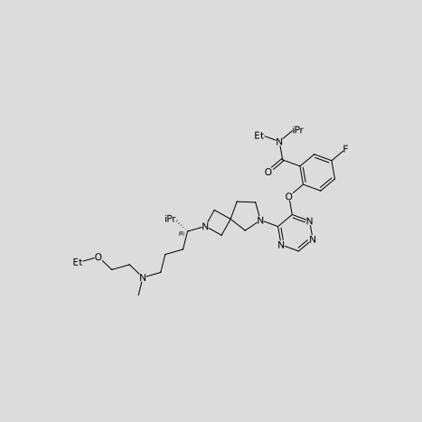 CCOCCN(C)CCC[C@H](C(C)C)N1CC2(CCN(c3ncnnc3Oc3ccc(F)cc3C(=O)N(CC)C(C)C)C2)C1